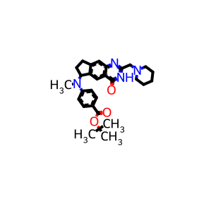 CN(c1ccc(C(=O)OC(C)(C)C)cc1)C1CCc2cc3nc(CN4CCCCC4)[nH]c(=O)c3cc21